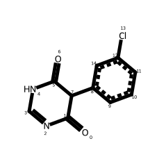 O=C1N=CNC(=O)C1c1cccc(Cl)c1